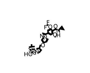 COc1cc(-c2cnc3cc(OCC4CCN(C[C@H](O)[Si](C)(C)C(C)(C)C)C4)ccn23)cc(OC(F)F)c1C(=O)NC1CC1